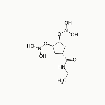 CCNC(=O)[C@H]1C[C@H](ON(O)O)[C@H](ON(O)O)C1